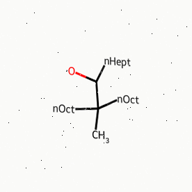 CCCCCCCCC(C)(CCCCCCCC)C([O])CCCCCCC